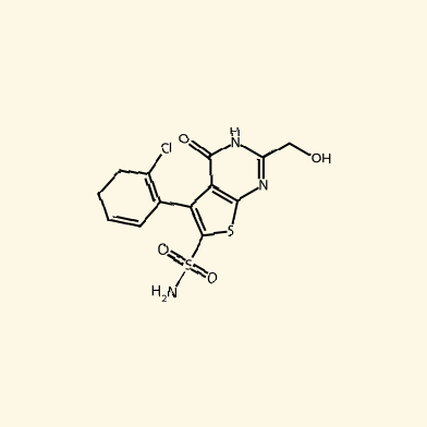 NS(=O)(=O)c1sc2nc(CO)[nH]c(=O)c2c1C1=C(Cl)CCC=C1